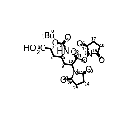 CC(C)(C)OC(=O)NC(CCC(=O)O)CC(C(=O)ON1C(=O)CCC1=O)N1C(=O)CCC1=O